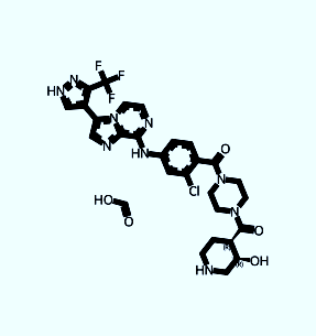 O=C(c1ccc(Nc2nccn3c(-c4c[nH]nc4C(F)(F)F)cnc23)cc1Cl)N1CCN(C(=O)[C@@H]2CCNC[C@@H]2O)CC1.O=CO